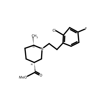 COC(=O)[C@@H]1CC[C@H](C)N(CCc2ccc(F)cc2Cl)C1